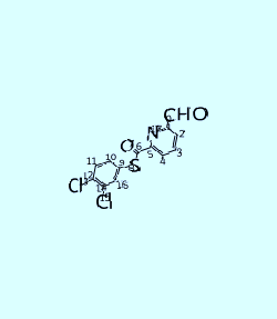 O=Cc1cccc(C(=O)Sc2ccc(Cl)c(Cl)c2)n1